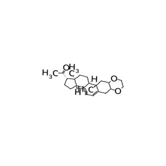 CC(=O)[C@H]1CC[C@H]2C3=CC=C4CC5OCCOC5C[C@@]4(C)[C@@H]3CC[C@]12C